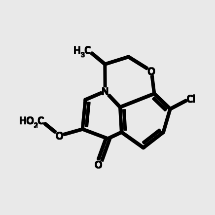 CC1COc2c(Cl)ccc3c(=O)c(OC(=O)O)cn1c23